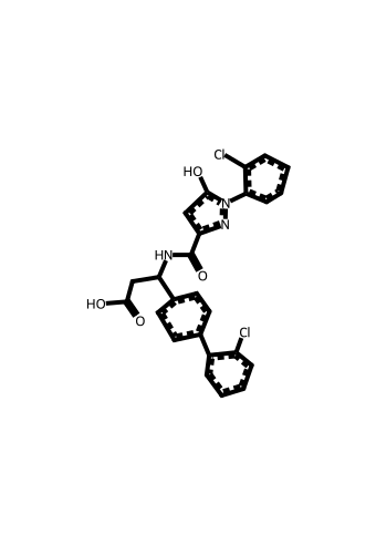 O=C(O)CC(NC(=O)c1cc(O)n(-c2ccccc2Cl)n1)c1ccc(-c2ccccc2Cl)cc1